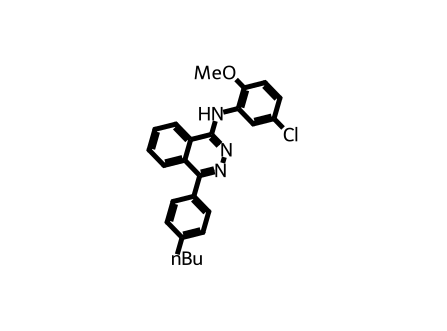 CCCCc1ccc(-c2nnc(Nc3cc(Cl)ccc3OC)c3ccccc23)cc1